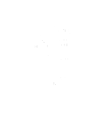 CC1CCCCCN1Cc1cc(O)c2c(c1Cl)C[C@H]1C[C@H]3[C@H](N(C)C)C(O)=C(C(N)=O)C(=O)[C@@]3(O)C(O)=C1C2=O